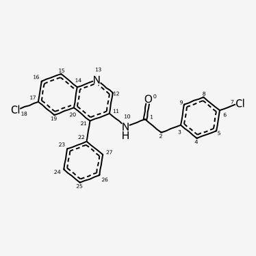 O=C(Cc1ccc(Cl)cc1)Nc1cnc2ccc(Cl)cc2c1-c1ccccc1